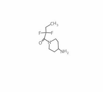 CCC(F)(F)C(=O)N1CCC(N)CC1